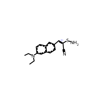 CCN(CC)c1ccc2cc(/C=C(\C#N)SN)ccc2c1